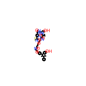 CCC(c1ccccc1)C(C)C(c1ccc(O)cc1)c1ccc(OCCN(C)C(=O)CCCOCCOc2cc(C(C(=O)N3CC(O)CC3C3=NC(=O)C(C)(c4ccc(-c5scnc5C)cc4)N3)C(C)C)on2)cc1